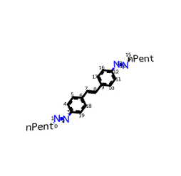 CCCCC/N=N/c1ccc(/C=C/c2ccc(/N=N/CCCCC)cc2)cc1